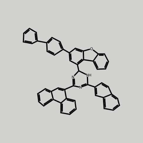 c1ccc(-c2ccc(-c3cc(C4N=C(c5cc6ccccc6c6ccccc56)N=C(c5ccc6ccccc6c5)N4)c4c(c3)oc3ccccc34)cc2)cc1